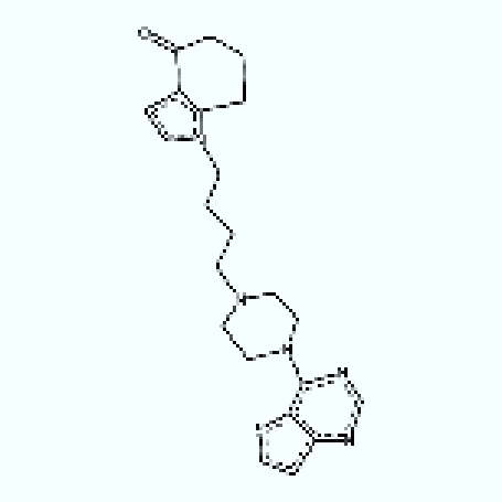 O=C1CCCc2c1ccn2CCCCN1CCN(c2ncnc3ccsc23)CC1